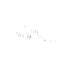 C=C1C(n2ccnc2)=CNN1c1cc(N2CCN(C=O)CC2)ncn1